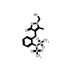 Cc1c(Cc2ccccc2N(S(=O)(=O)C(F)(F)F)S(=O)(=O)C(F)(F)F)c(=O)on1CC(C)C